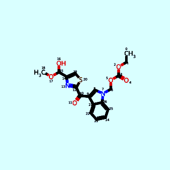 CCOC(=O)OCn1cc(C(=O)c2nc(C(O)OC)cs2)c2ccccc21